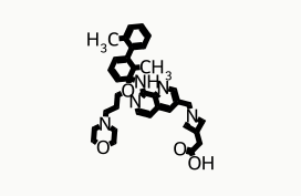 Cc1ccccc1C1=CC=CC(Nc2nccc3cc(CN4CC(CC(=O)O)C4)cnc23)(OCCCN2CCOCC2)C1C